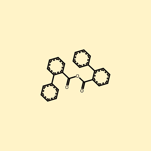 O=C(OC(=O)c1ccccc1-c1ccccc1)c1ccccc1-c1ccccc1